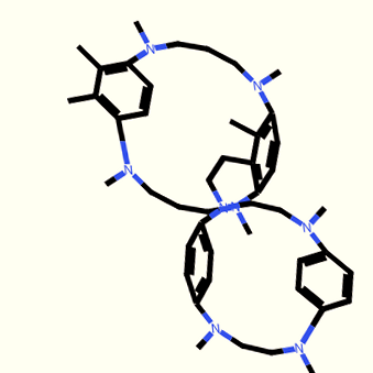 Cc1c2ccc(c1C)N(C)CCCN(C)c1ccc(c(C)c1CCN1CCN(C)c3ccc(cc3)N(C)CCN(C)c3ccc1cc3)N(C)CCCN2C